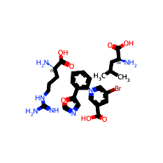 CC(C)C[C@H](N)C(=O)O.N=C(N)NCCC[C@H](N)C(=O)O.O=C(O)c1cncc(Br)c1.c1ccc(-c2cnco2)cc1